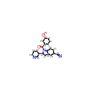 COc1cccc(C(=O)n2c(-c3cccnc3)cc3cc(C#N)ccc32)c1